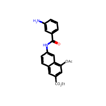 CCOC(=O)c1cc(OC(C)=O)c2cc(NC(=O)c3cccc(N)c3)ccc2c1